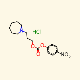 Cl.O=C(OCCCN1CCCCCC1)Oc1ccc([N+](=O)[O-])cc1